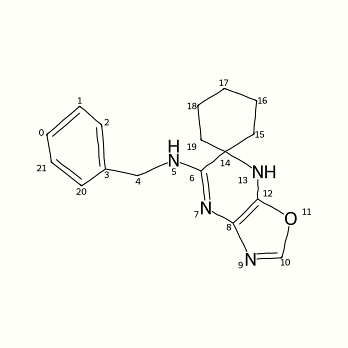 c1ccc(CNC2=Nc3ncoc3NC23CCCCC3)cc1